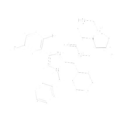 O=C([C@@H]1CNCCO1)N(C[C@@H]1CNC[C@@H]1F)[C@@H](c1nc(-c2cc(F)ccc2F)cn1Cc1ccccc1)C1CCOCC1